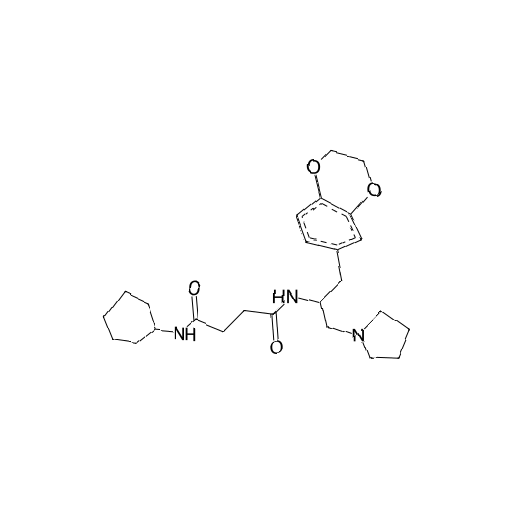 O=C(CCC(=O)NC(Cc1ccc2c(c1)OCCO2)CN1CCCC1)NC1CCCCC1